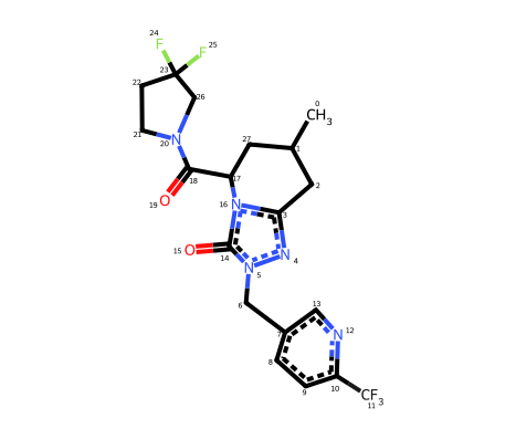 CC1Cc2nn(Cc3ccc(C(F)(F)F)nc3)c(=O)n2C(C(=O)N2CCC(F)(F)C2)C1